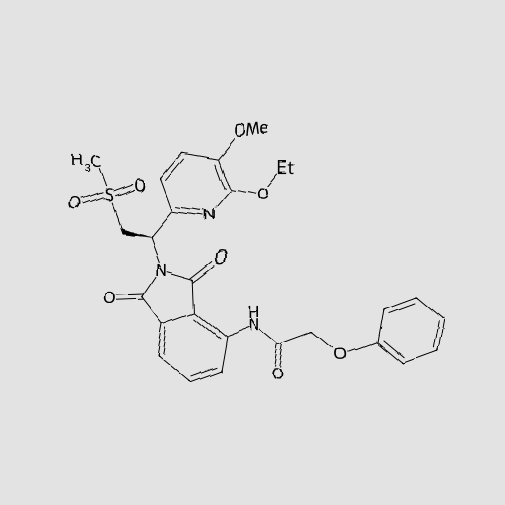 CCOc1nc([C@H](CS(C)(=O)=O)N2C(=O)c3cccc(NC(=O)COc4ccccc4)c3C2=O)ccc1OC